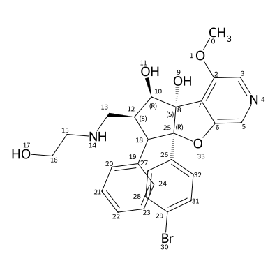 COc1cncc2c1[C@]1(O)[C@H](O)[C@H](CNCCO)C(c3ccccc3)[C@]1(c1ccc(Br)cc1)O2